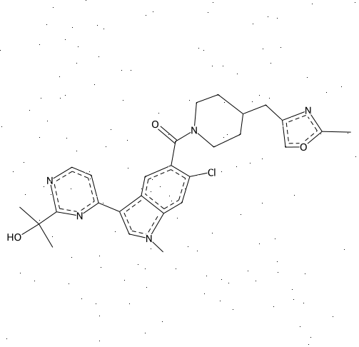 Cc1nc(CC2CCN(C(=O)c3cc4c(-c5ccnc(C(C)(C)O)n5)cn(C)c4cc3Cl)CC2)co1